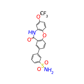 NS(=O)(=O)c1cccc(-c2ccc3c(c2)C(=O)Nc2cc(OC(F)(F)F)ccc2O3)c1